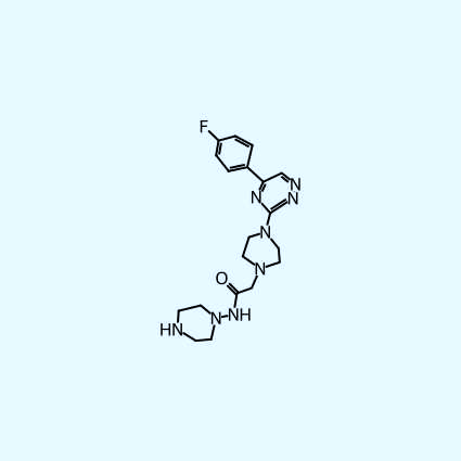 O=C(CN1CCN(c2nncc(-c3ccc(F)cc3)n2)CC1)NN1CCNCC1